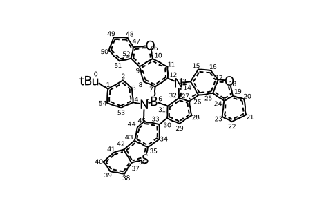 CC(C)(C)c1ccc(N2B3c4cc5c(cc4-n4c6ccc7oc8ccccc8c7c6c6ccc(c3c64)-c3cc4sc6ccccc6c4cc32)oc2ccccc25)cc1